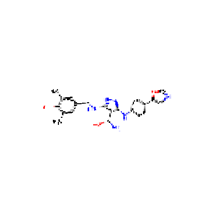 Cc1cc(CNc2[nH]nc(Nc3ccc(-c4cnco4)cc3)c2C(N)O)cc(C)c1O